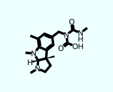 CNC(=O)N(Cc1cc(C)c2c(c1)[C@]1(C)CCN(C)[C@@H]1N2C)C(=O)O